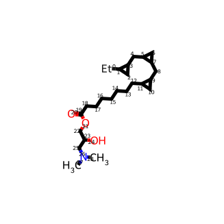 CCC1CC1CC1CC1CC1CC1CCCCCCCC(=O)OCC(O)CN(C)C